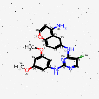 COc1cc(Nc2ncc(F)c(NC3=CC=C4OC=CC(N)=C4C3)n2)cc(OC)c1